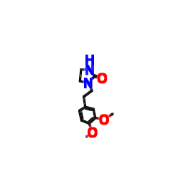 COc1ccc(CCN2CCNC2=O)cc1OC